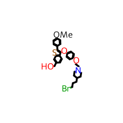 COc1ccc(-c2sc3cc(CO)ccc3c2Oc2ccc(OCCN3CCC(CCCBr)CC3)cc2)cc1